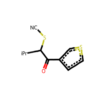 CC(C)C(SC#N)C(=O)c1ccsc1